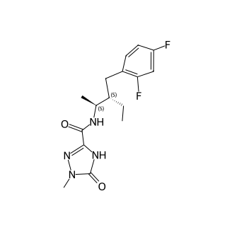 CC[C@@H](Cc1ccc(F)cc1F)[C@H](C)NC(=O)c1nn(C)c(=O)[nH]1